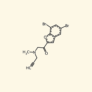 C#CCN(C)CC(=O)c1cc2cc(Br)cc(Br)c2o1